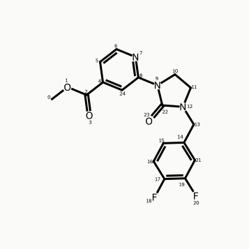 COC(=O)c1ccnc(N2CCN(Cc3ccc(F)c(F)c3)C2=O)c1